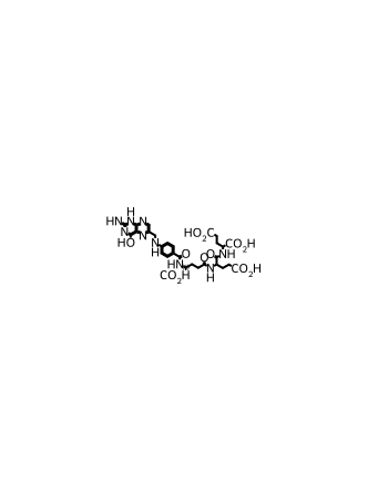 N=c1nc(O)c2nc(CNc3ccc(C(=O)N[C@@H](CCC(=O)NC(CCC(=O)O)C(=O)NC(CCC(=O)O)C(=O)O)C(=O)O)cc3)cnc2[nH]1